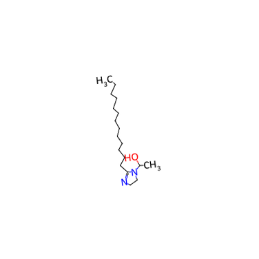 CCCCCCCCCCCCCC1=NCCN1C(C)O